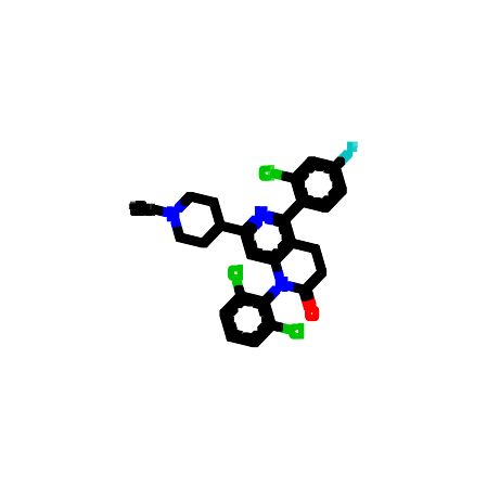 CC(C)(C)N1CCC(c2cc3c(c(-c4ccc(F)cc4Cl)n2)CCC(=O)N3c2c(Cl)cccc2Cl)CC1